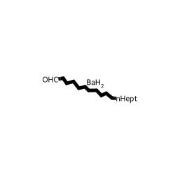 CCCCCCCCCCCCCCCCCC=O.[BaH2]